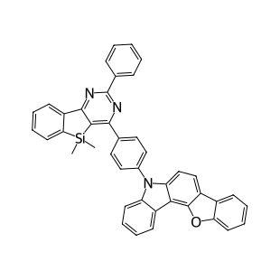 C[Si]1(C)c2ccccc2-c2nc(-c3ccccc3)nc(-c3ccc(-n4c5ccccc5c5c6oc7ccccc7c6ccc54)cc3)c21